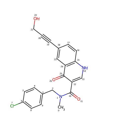 CN(Cc1ccc(Cl)cc1)C(=O)c1c[nH]c2ccc(C#CCO)cc2c1=O